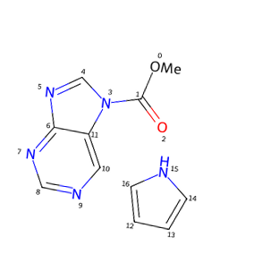 COC(=O)n1cnc2ncncc21.c1cc[nH]c1